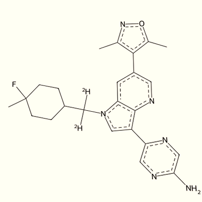 [2H]C([2H])(C1CCC(C)(F)CC1)n1cc(-c2cnc(N)cn2)c2ncc(-c3c(C)noc3C)cc21